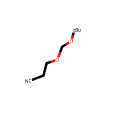 CC(C)(C)OCOCCC#N